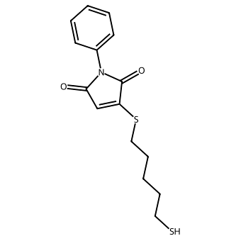 O=C1C=C(SCCCCCS)C(=O)N1c1ccccc1